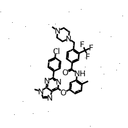 Cc1ccc(Oc2nc(-c3ccc(Cl)cc3)nc3c2ncn3C)cc1NC(=O)c1ccc(CN2CCN(C)CC2)c(C(F)(F)F)c1